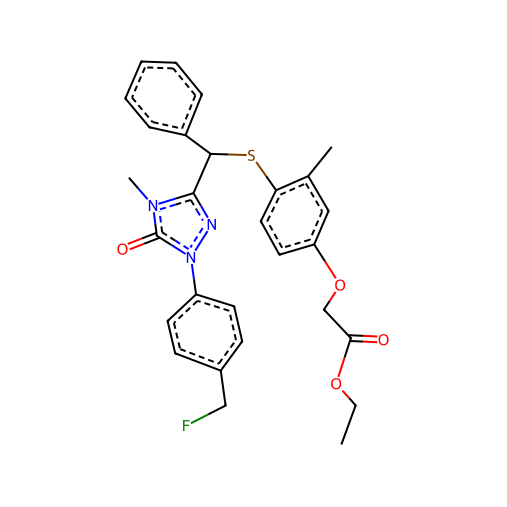 CCOC(=O)COc1ccc(SC(c2ccccc2)c2nn(-c3ccc(CF)cc3)c(=O)n2C)c(C)c1